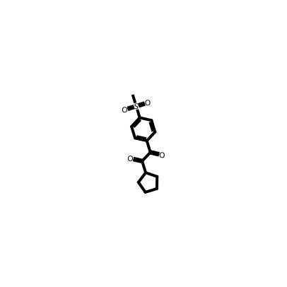 CS(=O)(=O)c1ccc(C(=O)C(=O)C2CCCC2)cc1